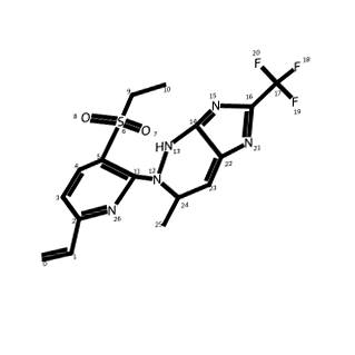 C=Cc1ccc(S(=O)(=O)CC)c(N2NC3=NC(C(F)(F)F)=NC3=CC2C)n1